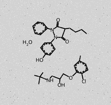 CCCCC1C(=O)N(c2ccccc2)N(c2ccc(O)cc2)C1=O.Cc1ccc(Cl)c(OCC(O)CNC(C)(C)C)c1.O